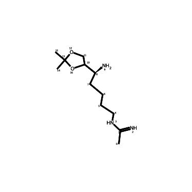 CC(=N)NCCCC[C@H](N)C1COC(C)(C)O1